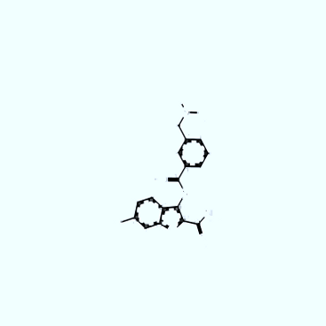 CN(C)Cc1cccc(C(=O)Nc2c(C(N)=O)oc3cc(Cl)ccc23)c1